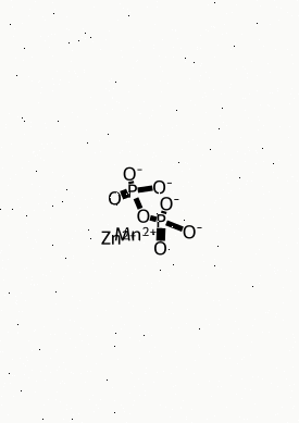 O=P([O-])([O-])OP(=O)([O-])[O-].[Mn+2].[Zn+2]